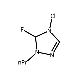 CCCN1N=CN(Cl)C1F